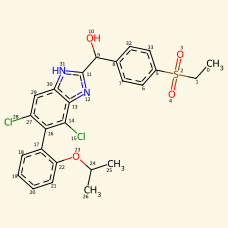 CCS(=O)(=O)c1ccc(C(O)c2nc3c(Cl)c(-c4ccccc4OC(C)C)c(Cl)cc3[nH]2)cc1